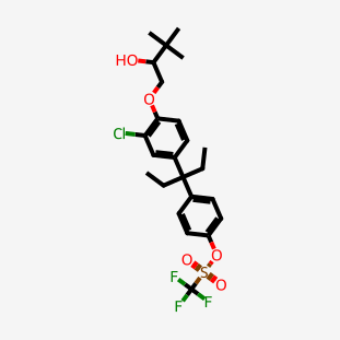 CCC(CC)(c1ccc(OS(=O)(=O)C(F)(F)F)cc1)c1ccc(OCC(O)C(C)(C)C)c(Cl)c1